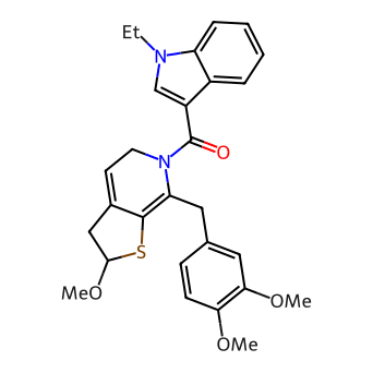 CCn1cc(C(=O)N2CC=C3CC(OC)SC3=C2Cc2ccc(OC)c(OC)c2)c2ccccc21